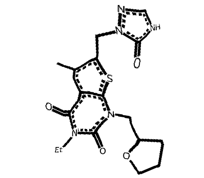 CCn1c(=O)c2c(C)c(Cn3nc[nH]c3=O)sc2n(CC2CCCO2)c1=O